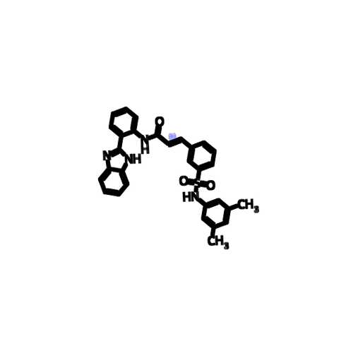 Cc1cc(C)cc(NS(=O)(=O)c2cccc(/C=C/C(=O)Nc3ccccc3-c3nc4ccccc4[nH]3)c2)c1